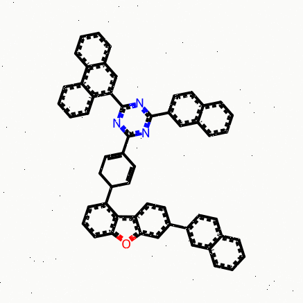 C1=CC(c2cccc3oc4cc(-c5ccc6ccccc6c5)ccc4c23)CC=C1c1nc(-c2ccc3ccccc3c2)nc(-c2cc3ccccc3c3ccccc23)n1